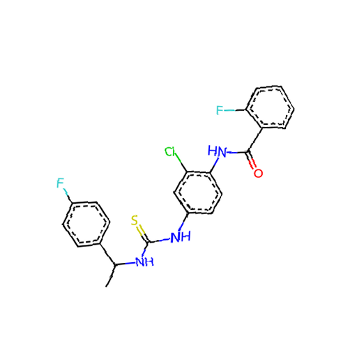 CC(NC(=S)Nc1ccc(NC(=O)c2ccccc2F)c(Cl)c1)c1ccc(F)cc1